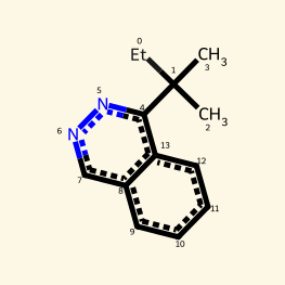 CCC(C)(C)c1nncc2ccccc12